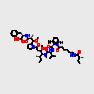 CC[C@@H](C)C(=O)NCCCCCC(=O)N1[C@@H]2CC[C@@H](C2)[C@H]1C(=O)N[C@H](C(=O)N(C)[C@@H]([C@@H](C)CC)[C@@H](CC(=O)N1CCC[C@H]1[C@H](OC)[C@@H](C)C(=O)N[C@@H](Cc1ccccc1)C(=O)O)OC)C(C)C